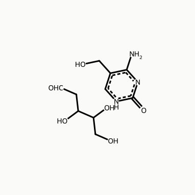 Nc1nc(=O)[nH]cc1CO.O=CCC(O)C(O)CO